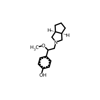 COC(CN1C[C@H]2CCC[C@H]2C1)c1ccc(O)cc1